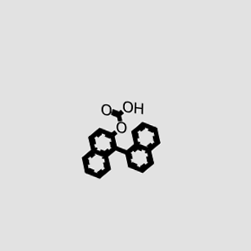 O=C(O)Oc1ccc2ccccc2c1-c1cccc2ccccc12